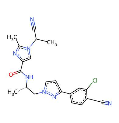 Cc1nc(C(=O)N[C@@H](C)Cn2ccc(-c3ccc(C#N)c(Cl)c3)n2)cn1C(C)C#N